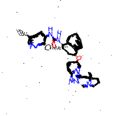 COc1ncc(C(C)(C)C)cc1NC(=O)N[C@H]1CC[C@@H](Oc2ccc3nnc(C4(C)CCCN4C)n3c2)c2ccccc21